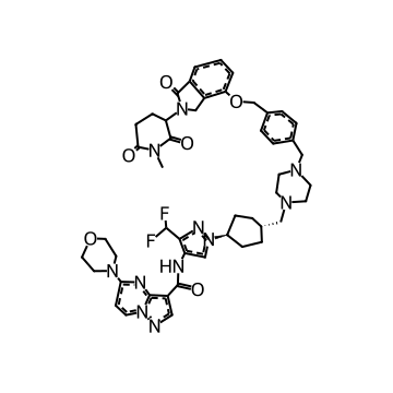 CN1C(=O)CCC(N2Cc3c(OCc4ccc(CN5CCN(C[C@H]6CC[C@H](n7cc(NC(=O)c8cnn9ccc(N%10CCOCC%10)nc89)c(C(F)F)n7)CC6)CC5)cc4)cccc3C2=O)C1=O